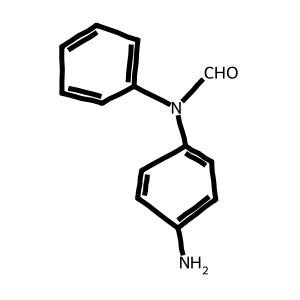 Nc1ccc(N(C=O)c2ccccc2)cc1